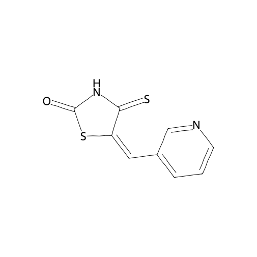 O=C1NC(=S)/C(=C\c2cccnc2)S1